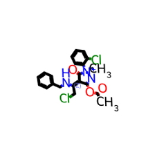 CC(=O)OC1=N[N+](C)(c2ccccc2Cl)C(=O)/C1=C(/CCl)NCc1ccccc1